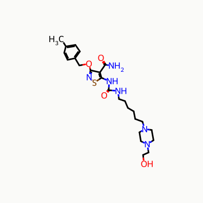 Cc1ccc(COc2nsc(NC(=O)NCCCCCCN3CCN(CCO)CC3)c2C(N)=O)cc1